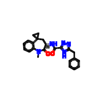 CN1C(=O)[C@@H](NC(=O)c2nnc(Cc3ccccc3)[nH]2)CC2(CC2)c2ccccc21